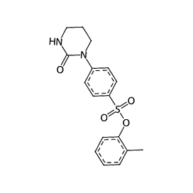 Cc1ccccc1OS(=O)(=O)c1ccc(N2CCCNC2=O)cc1